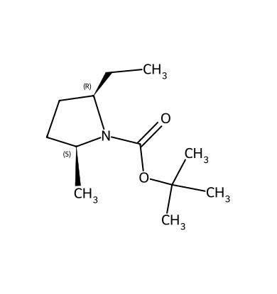 CC[C@@H]1CC[C@H](C)N1C(=O)OC(C)(C)C